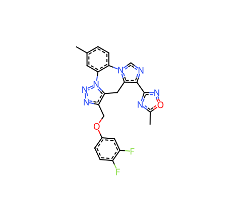 Cc1ccc2c(c1)-n1nnc(COc3ccc(F)c(F)c3)c1Cc1c(-c3noc(C)n3)ncn1-2